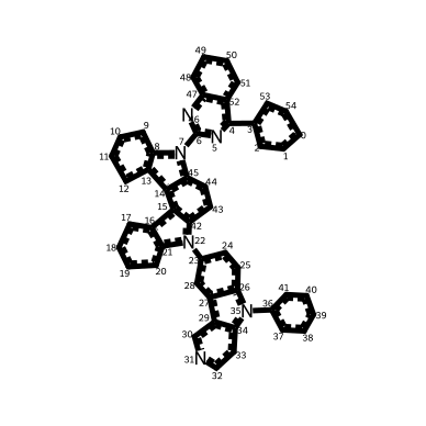 c1ccc(-c2nc(-n3c4ccccc4c4c5c6ccccc6n(-c6ccc7c(c6)c6cnccc6n7-c6ccccc6)c5ccc43)nc3ccccc23)cc1